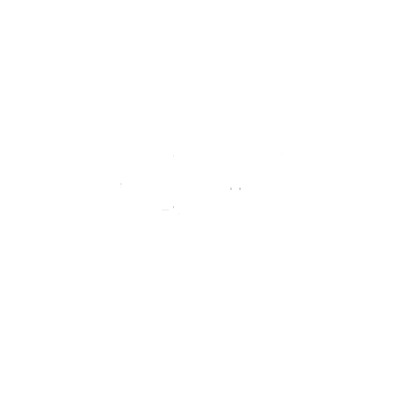 CC(=O)NC(C)OC(C)O